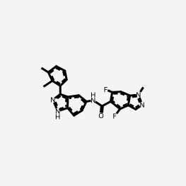 Cc1cccc(-c2n[nH]c3ccc(NC(=O)c4c(F)cc5c(cnn5C)c4F)cc23)c1C